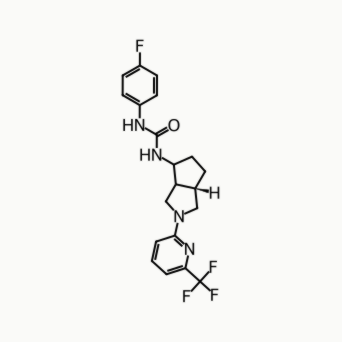 O=C(Nc1ccc(F)cc1)NC1CC[C@@H]2CN(c3cccc(C(F)(F)F)n3)CC12